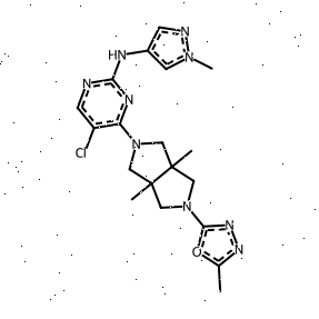 Cc1nnc(N2CC3(C)CN(c4nc(Nc5cnn(C)c5)ncc4Cl)CC3(C)C2)o1